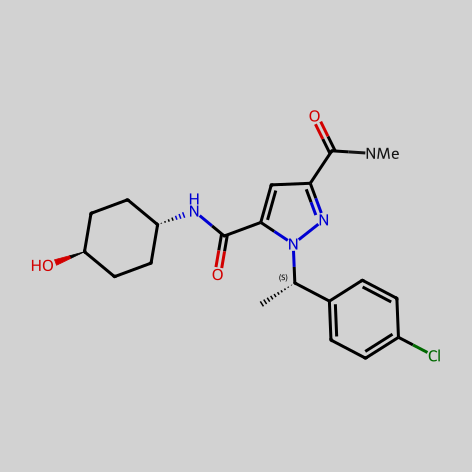 CNC(=O)c1cc(C(=O)N[C@H]2CC[C@H](O)CC2)n([C@@H](C)c2ccc(Cl)cc2)n1